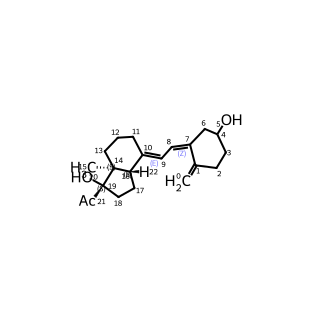 C=C1CCC(O)C/C1=C/C=C1\CCC[C@@]2(C)[C@H]1CC[C@@]2(O)C(C)=O